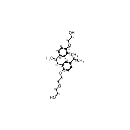 CC(C)c1ccc(OCCOCCO)c(C[C@@H](C)c2ccc(OCCO)cc2)c1